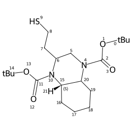 CC(C)(C)OC(=O)N1CC(CCS)N(C(=O)OC(C)(C)C)[C@H]2CCCCC21